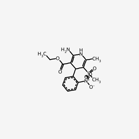 CCOC(=O)C1=C(N)NC(C)=C(S(C)(=O)=O)C1c1ccccc1[N+](=O)[O-]